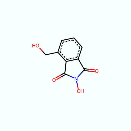 O=C1c2cccc(CO)c2C(=O)N1O